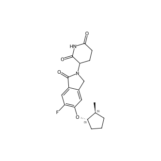 C[C@H]1CCC[C@@H]1Oc1cc2c(cc1F)C(=O)N(C1CCC(=O)NC1=O)C2